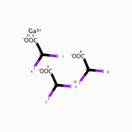 O=C([O-])C(I)I.O=C([O-])C(I)I.O=C([O-])C(I)I.[Ga+3]